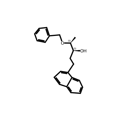 C[C@H](OCc1ccccc1)[C@@H](O)CCc1cccc2ccccc12